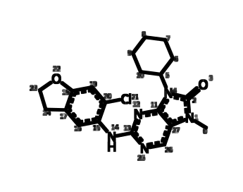 Cn1c(=O)n(C2CCCCC2)c2nc(Nc3cc4c(cc3Cl)OCC4)ncc21